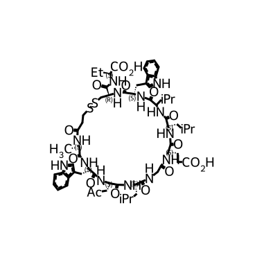 CC[C@H](NC(=O)[C@@H]1CSSCCC(=O)N[C@@H](C)C(=O)N[C@@H](Cc2c[nH]c3ccccc23)C(=O)N[C@@H](CC(C)=O)C(=O)N[C@@H](CC(C)C)C(=O)NCC(=O)N[C@@H](CCC(=O)O)C(=O)N[C@@H](CC(C)C)C(=O)NC(C(C)C)C(=O)N[C@@H](Cc2c[nH]c3ccccc23)C(=O)N1)C(=O)O